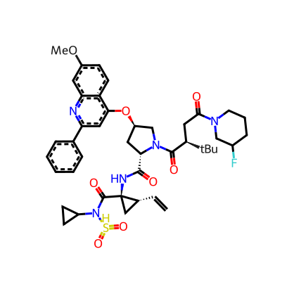 C=C[C@@H]1C[C@]1(NC(=O)[C@@H]1C[C@@H](Oc2cc(-c3ccccc3)nc3cc(OC)ccc23)CN1C(=O)[C@@H](CC(=O)N1CCCC(F)C1)C(C)(C)C)C(=O)N(C1CC1)[SH](=O)=O